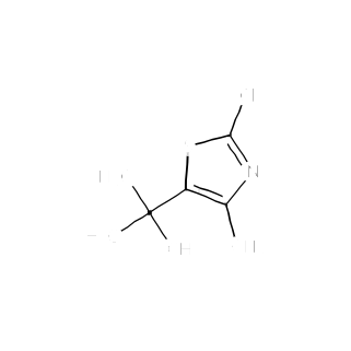 Cc1nc(Cl)sc1C(C)(C)C